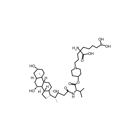 CC(C)[C@@H](NC(=O)CC[C@H](C)[C@@H]1CC[C@@H]2[C@@H]3[C@@H](CC[C@]21O)[C@]1(C)CC[C@H](O)C[C@@H]1C[C@@H]3O)C(=O)OC1CCN(CCCC(N)(CCCCB(O)O)C(=O)O)CC1